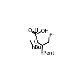 CCCCC.CCCCCC(CC(C)C)O[PH](=O)O